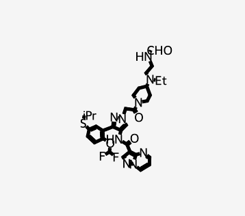 CCN(CCNC=O)C1CCN(C(=O)Cn2cc(NC(=O)c3cnn4cccnc34)c(-c3cc(SC(C)C)ccc3OC(F)F)n2)CC1